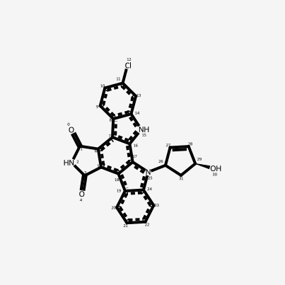 O=C1NC(=O)c2c1c1c3ccc(Cl)cc3[nH]c1c1c2c2ccccc2n1C1C=C[C@@H](O)C1